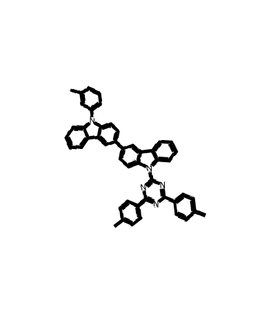 Cc1ccc(-c2nc(-c3ccc(C)cc3)nc(-n3c4ccccc4c4cc(-c5ccc6c(c5)c5ccccc5n6-c5cccc(C)c5)ccc43)n2)cc1